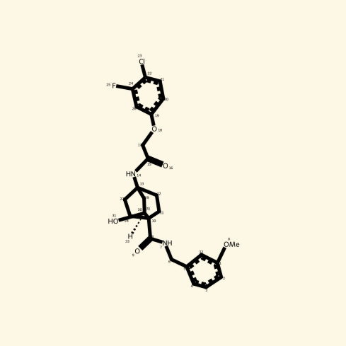 COc1cccc(CNC(=O)C23CCC(NC(=O)COc4ccc(Cl)c(F)c4)(CC2)C[C@@H]3O)c1